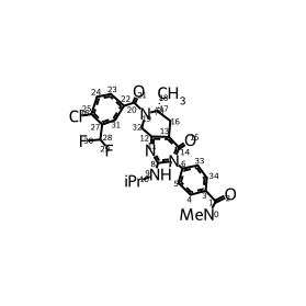 CNC(=O)c1ccc(-n2c(NC(C)C)nc3c(c2=O)C[C@@H](C)N(C(=O)c2ccc(Cl)c(C(F)F)c2)C3)cc1